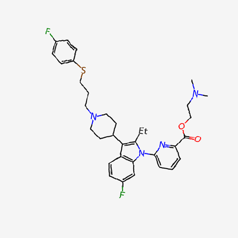 CCc1c(C2CCN(CCCSc3ccc(F)cc3)CC2)c2ccc(F)cc2n1-c1cccc(C(=O)OCCN(C)C)n1